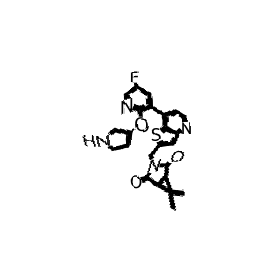 CC1(C)C2C(=O)N(Cc3cc4nccc(-c5cc(F)cnc5O[C@@H]5CCNC5)c4s3)C(=O)C21